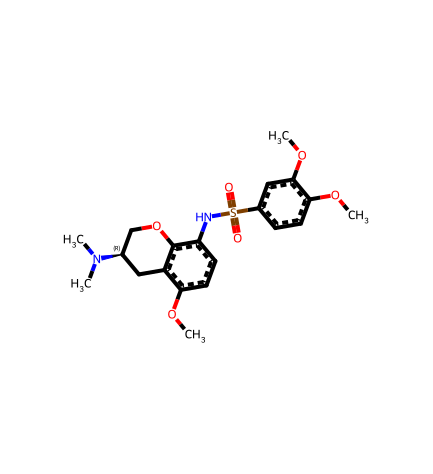 COc1ccc(S(=O)(=O)Nc2ccc(OC)c3c2OC[C@H](N(C)C)C3)cc1OC